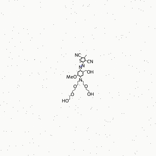 COc1cc(/N=N/c2sc(C#N)c(C)c2C#N)c(CO)cc1N(CCOCCO)CCOCCOCCO